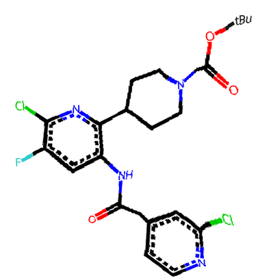 CC(C)(C)OC(=O)N1CCC(c2nc(Cl)c(F)cc2NC(=O)c2ccnc(Cl)c2)CC1